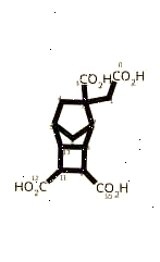 O=C(O)CC1(C(=O)O)CC2CC1C1C(C(=O)O)C(C(=O)O)C21